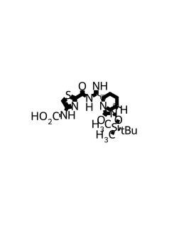 CC(C)(C)[Si](C)(C)ON1C(=O)N2C[C@H]1CC[C@H]2C(=N)NC(=O)c1nc(NC(=O)O)cs1